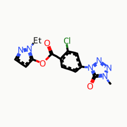 CCn1nccc1OC(=O)c1ccc(-n2nnn(C)c2=O)cc1Cl